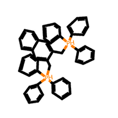 c1ccc([PH](Cc2cc3ccccc3cc2C[PH](c2ccccc2)(c2ccccc2)c2ccccc2)(c2ccccc2)c2ccccc2)cc1